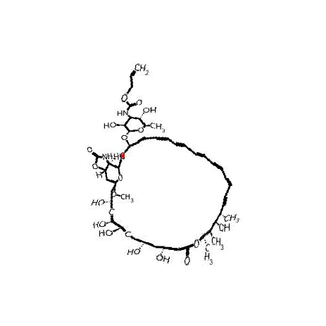 C=CCOC(=O)N[C@@H]1[C@H](O)[C@H](O[C@H]2/C=C/C=C/C=C/C=C/C=C/C=C/C=C/[C@H](C)[C@@H](O)[C@@H](C)[C@H](C)OC(=O)C[C@H](O)C[C@H](O)CC[C@@H](O)[C@H](O)C[C@H](O)C[C@]3(OC)C[C@@H]4OC(=O)N[C@H]4[C@H](C2)O3)O[C@H](C)[C@H]1O